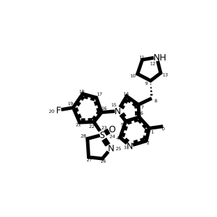 Cc1cncc2c1c(C[C@@H]1CCNC1)cn2-c1ccc(F)cc1S1(=O)=NCCC1